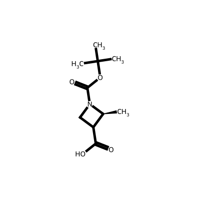 C[C@H]1C(C(=O)O)CN1C(=O)OC(C)(C)C